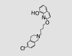 Oc1cccc2ccc(OCCCCN3CCc4cc(Cl)ccc4C3)nc12